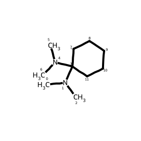 CN(C)C1(N(C)C)[CH]CCCC1